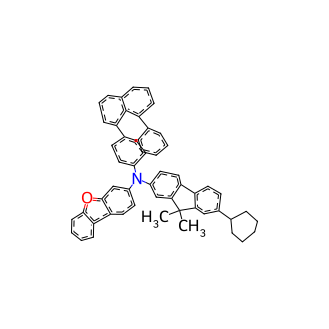 CC1(C)c2cc(C3CCCCC3)ccc2-c2ccc(N(c3ccc(-c4cccc5cccc(-c6ccccc6)c45)cc3)c3ccc4c(c3)oc3ccccc34)cc21